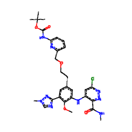 CNC(=O)c1nnc(Cl)cc1Nc1cc(CCOCc2cccc(NC(=O)OC(C)(C)C)n2)cc(-c2ncn(C)n2)c1OC